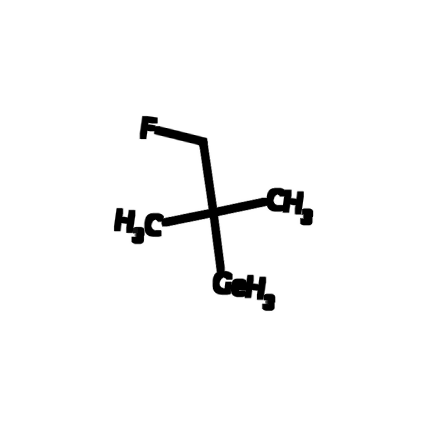 C[C](C)([GeH3])CF